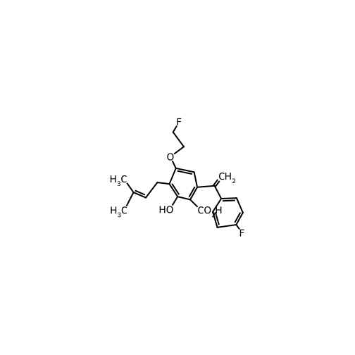 C=C(c1ccc(F)cc1)c1cc(OCCF)c(CC=C(C)C)c(O)c1C(=O)O